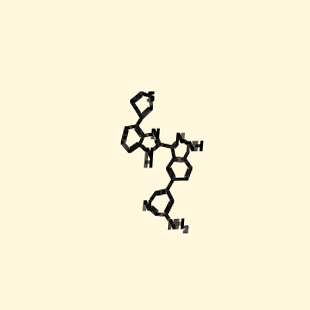 Nc1cncc(-c2ccc3[nH]nc(-c4nc5c(-c6ccsc6)cccc5[nH]4)c3c2)c1